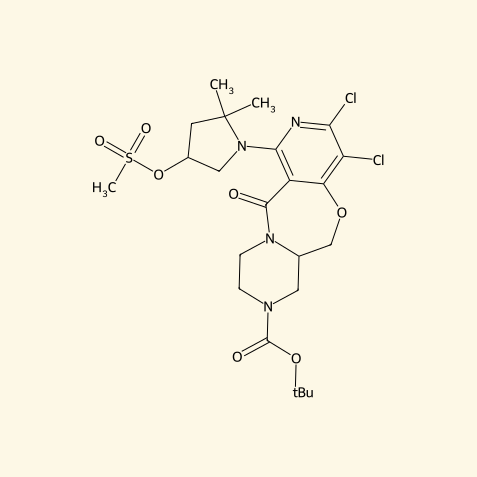 CC(C)(C)OC(=O)N1CCN2C(=O)c3c(N4CC(OS(C)(=O)=O)CC4(C)C)nc(Cl)c(Cl)c3OCC2C1